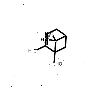 CC1=CCC2CC1(C=O)C2(C)C